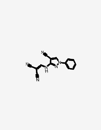 N#CC(C#N)=CNc1nn(-c2ccccc2)cc1C#N